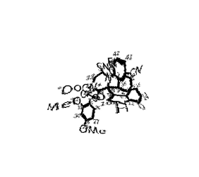 CCOc1ccccc1C1(C2CNc3ccccc32)C(=O)[N+](C(=O)[O-])(S(=O)(=O)c2ccc(OC)cc2OC)CC(C#N)N1c1cc(C#N)ccn1